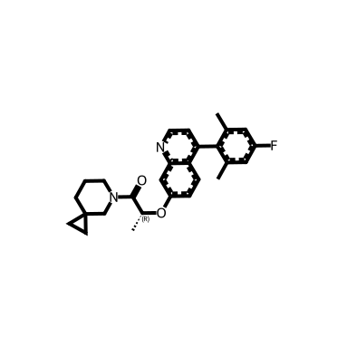 Cc1cc(F)cc(C)c1-c1ccnc2cc(O[C@H](C)C(=O)N3CCCC4(CC4)C3)ccc12